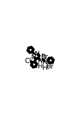 O=C(Nc1cnc(-c2ccccc2)nc1-c1ccccc1Cl)Nc1c(Br)cccc1Br